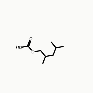 CC(C)CC(C)COC(=O)O